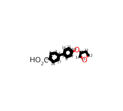 O=C(O)c1ccc(-c2ccc(O[C@H]3CCOC3)cc2)cc1